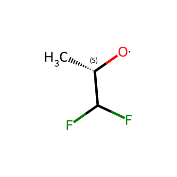 C[C@H]([O])C(F)F